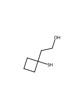 OCCC1(S)CCC1